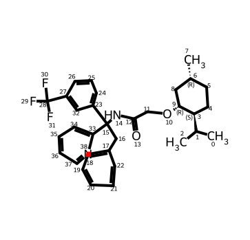 CC(C)[C@@H]1CC[C@@H](C)C[C@H]1OCC(=O)NC(Cc1ccccc1)(c1cccc(C(F)(F)F)c1)c1ccccn1